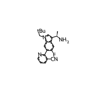 C[C@@H](N)c1cn(CC(C)(C)C)c2cc(-c3ncccc3C#N)c(F)cc12